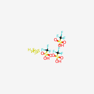 O=S(=O)(O)C(F)(F)F.O=S(=O)(O)C(F)(F)F.O=S(=O)(O)C(F)(F)F.S.S.S